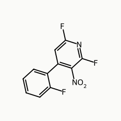 O=[N+]([O-])c1c(-c2ccccc2F)cc(F)nc1F